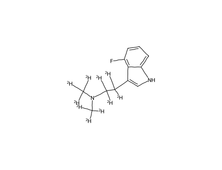 [2H]C([2H])([2H])N(C([2H])([2H])[2H])C([2H])([2H])C([2H])([2H])c1c[nH]c2cccc(F)c12